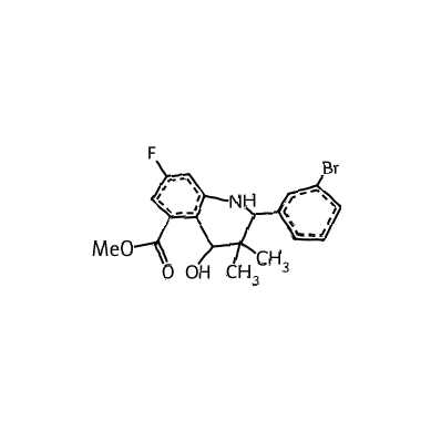 COC(=O)c1cc(F)cc2c1C(O)C(C)(C)C(c1cccc(Br)c1)N2